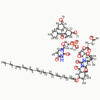 C#CC#CC#CC#CC#CC#CC#CC#CC#CC#CC#COc1cc(C(=O)n2c(=O)ccn([C@@H]3O[C@H](COP(C)(=O)O[C@@H]4C[C@H](n5cc(C)c(=O)[nH]c5=O)O[C@@H]4COC(c4ccccc4)(c4ccc(OC)cc4)c4ccc(OC)cc4)[C@H](OC(=O)CCC(C)=O)C3O[Si](C)(C)C(C)(C)C)c2=O)cc(C)c1C